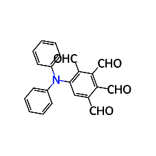 O=Cc1cc(N(c2ccccc2)c2ccccc2)c(C=O)c(C=O)c1C=O